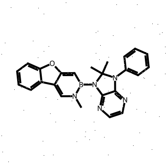 CN1C=c2c(oc3ccccc23)=CB1N1c2nccnc2N(c2ccccc2)C1(C)C